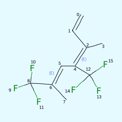 C=C/C(C)=C(\C=C(/C)C(F)(F)F)C(F)(F)F